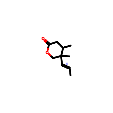 C/C=C/C1(C)COC(=O)CC1C